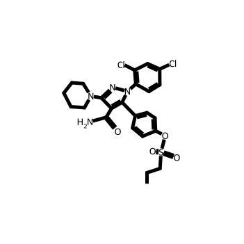 CCCS(=O)(=O)Oc1ccc(-c2c(C(N)=O)c(N3CCCCC3)nn2-c2ccc(Cl)cc2Cl)cc1